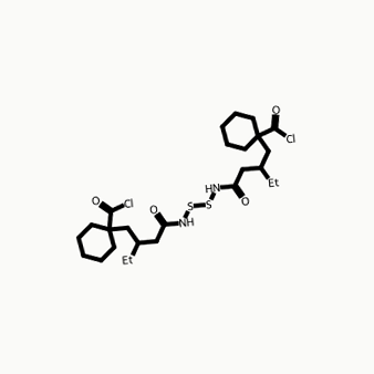 CCC(CC(=O)NSSNC(=O)CC(CC)CC1(C(=O)Cl)CCCCC1)CC1(C(=O)Cl)CCCCC1